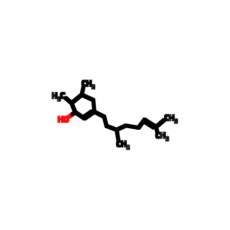 CC(C)=CCCC(C)CCC1=CC(O)C(C)C(C)C1